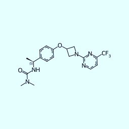 C[C@H](NC(=O)N(C)C)c1ccc(OC2CN(c3nccc(C(F)(F)F)n3)C2)cc1